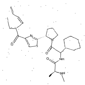 C=C/C=C\C(=C/C)C(=O)c1csc([C@@H]2CCCN2C(=O)C(NC(=O)[C@H](C)NC)C2CCCCC2)n1